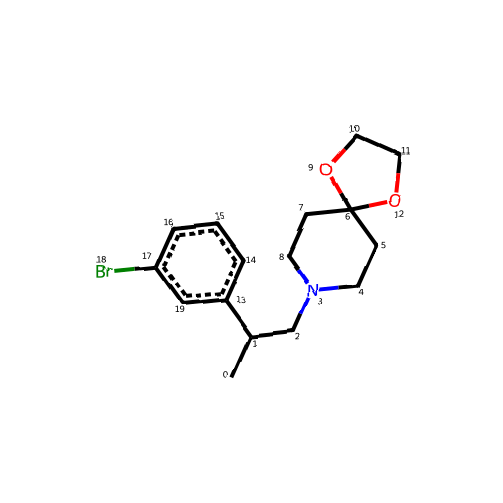 CC(CN1CCC2(CC1)OCCO2)c1cccc(Br)c1